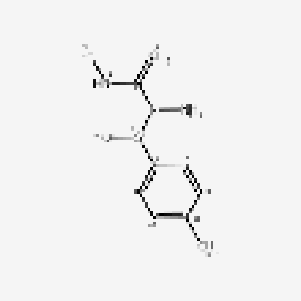 C=C(NCC)N(N)[S+]([O-])c1ccc(C)cc1